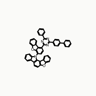 c1ccc(-c2ccc(-c3nc(-c4ccccc4)nc(-c4ccc(-n5c6ccccc6c6ccc7oc8ccccc8c7c65)c5oc6ccccc6c45)n3)cc2)cc1